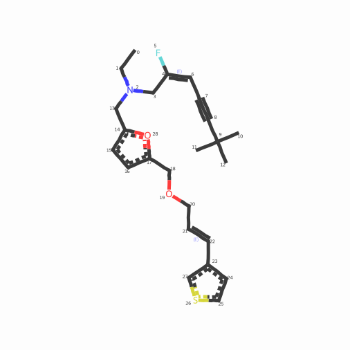 CCN(C/C(F)=C\C#CC(C)(C)C)Cc1ccc(COC/C=C/c2ccsc2)o1